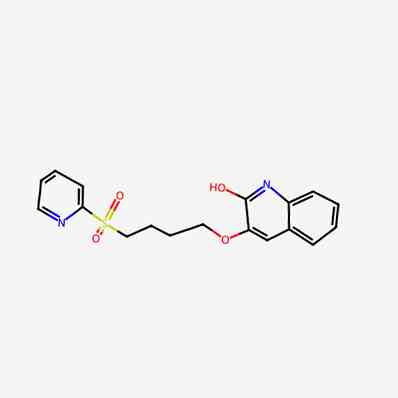 O=S(=O)(CCCCOc1cc2ccccc2nc1O)c1ccccn1